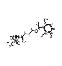 O=C(CCCOC(=O)c1c(I)ccc(I)c1I)NS(=O)(=O)C(F)(F)F